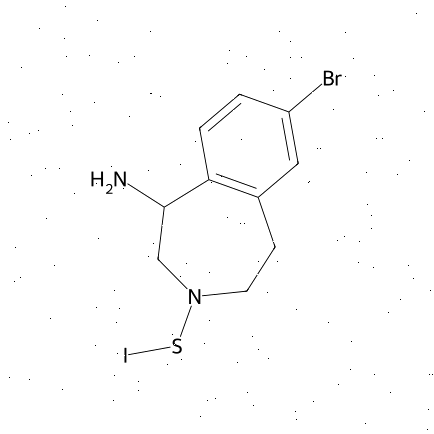 NC1CN(SI)CCc2cc(Br)ccc21